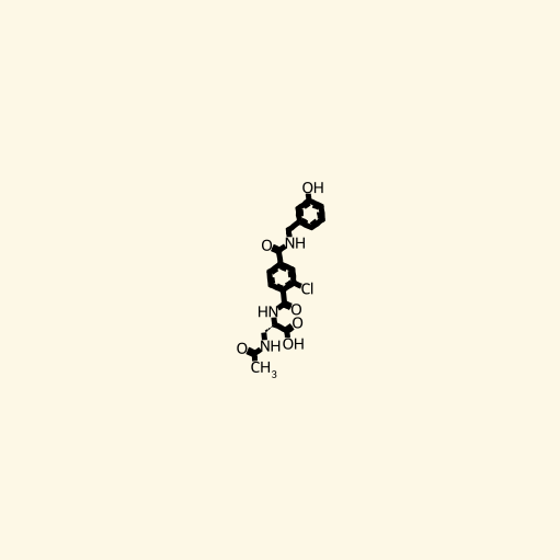 CC(=O)NC[C@H](NC(=O)c1ccc(C(=O)NCc2cccc(O)c2)cc1Cl)C(=O)O